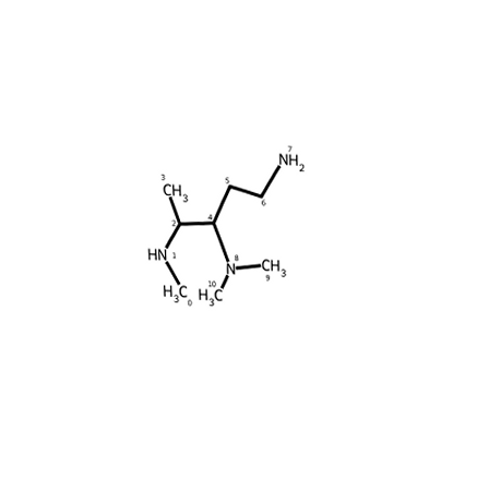 CNC(C)C(CCN)N(C)C